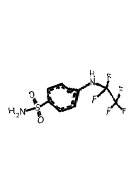 NS(=O)(=O)c1ccc(NC(F)(F)C(F)(F)F)cc1